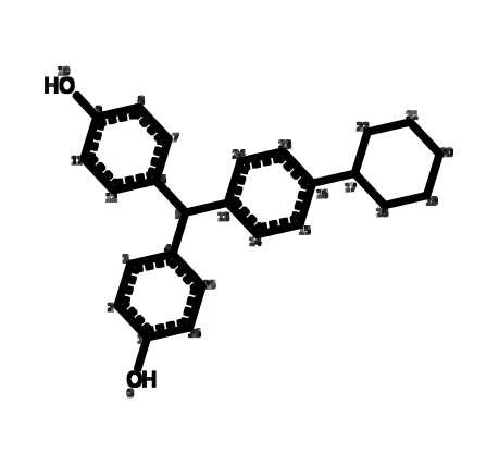 Oc1ccc(C(c2ccc(O)cc2)c2ccc(C3CCCCC3)cc2)cc1